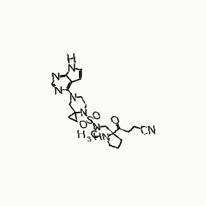 CN(C[C@@]1(C(=O)CCC#N)CCCN1)S(=O)(=O)N1CCN(c2ncnc3[nH]ccc23)CC12CC2